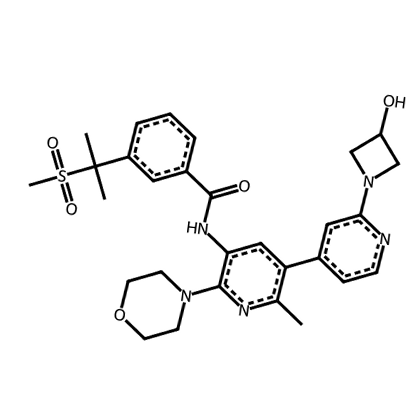 Cc1nc(N2CCOCC2)c(NC(=O)c2cccc(C(C)(C)S(C)(=O)=O)c2)cc1-c1ccnc(N2CC(O)C2)c1